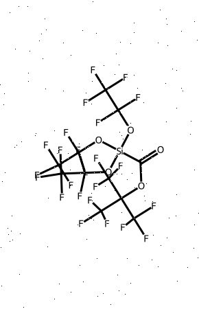 O=C(OC(C(F)(F)F)(C(F)(F)F)C(F)(F)F)[Si](OC(F)(F)C(F)(F)F)(OC(F)(F)C(F)(F)F)OC(F)(F)C(F)(F)F